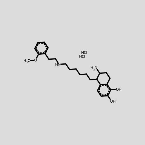 COc1ccccc1CCNCCCCCCC1c2ccc(O)c(O)c2CCC1N.Cl.Cl